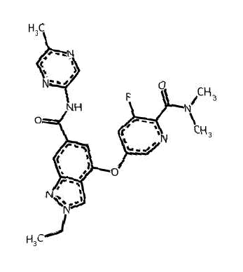 CCn1cc2c(Oc3cnc(C(=O)N(C)C)c(F)c3)cc(C(=O)Nc3cnc(C)cn3)cc2n1